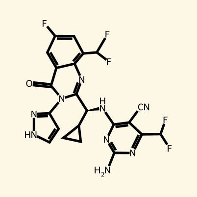 N#Cc1c(N[C@H](c2nc3c(C(F)F)cc(F)cc3c(=O)n2-c2cc[nH]n2)C2CC2)nc(N)nc1C(F)F